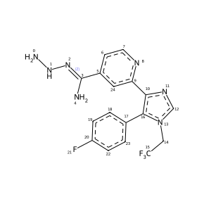 NN/N=C(\N)c1ccnc(-c2ncn(CC(F)(F)F)c2-c2ccc(F)cc2)c1